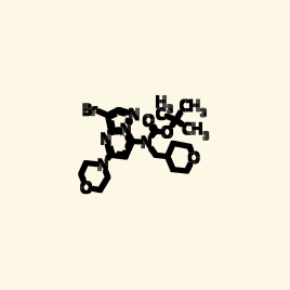 CC(C)(C)OC(=O)N(CC1CCOCC1)c1cc(N2CCOCC2)nc2c(Br)cnn12